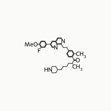 COc1ccc(-c2cnc3c(CCc4ccc(C(=O)C(C)CCCCC5CCNCC5)c(C)c4)nccc3c2)cc1F